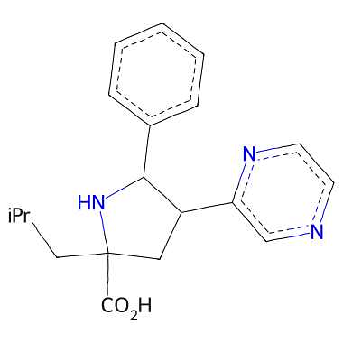 CC(C)CC1(C(=O)O)CC(c2cnccn2)C(c2ccccc2)N1